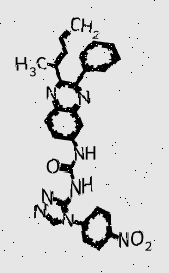 C=C/C=C(\C)c1nc2ccc(NC(=O)Nc3nncn3-c3ccc([N+](=O)[O-])cc3)cc2nc1-c1ccccc1